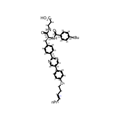 CCC/C=C/CCOc1ccc(-c2cnc(-c3ccc(C[C@H](NC(=O)c4ccc(C(C)(C)C)cc4)C(=O)NCCC(=O)O)cc3)nc2)cc1